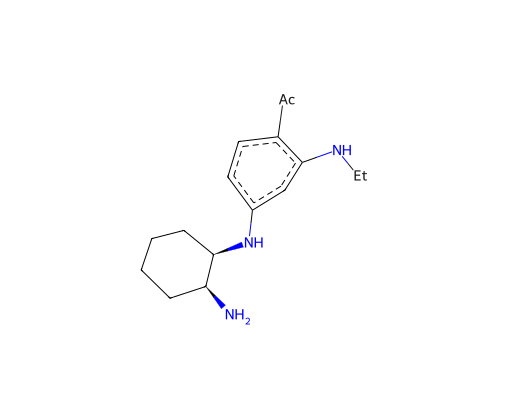 CCNc1cc(N[C@@H]2CCCC[C@@H]2N)ccc1C(C)=O